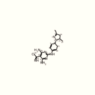 CC1=NN(C2C=CC(Nc3nc(N)c(C(=N)Cl)c(N)n3)=CC2)C(C)C1